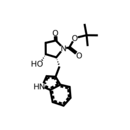 CC(C)(C)OC(=O)N1C(=O)C[C@@H](O)[C@H]1Cc1c[nH]c2ccccc12